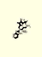 Cc1c(CN(CCCN)c2nc3nnccc3[nH]2)sc(C(F)(F)F)c1Br.Cl.Cl